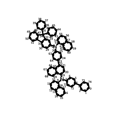 c1ccc(-c2ccc(N(c3cccc4ccccc34)c3ccc(-c4ccc(N(c5ccc6c(c5)C(c5ccccc5)(c5ccccc5)c5ccccc5-6)c5cccc6ccccc56)cc4)c4ccccc34)cc2)cc1